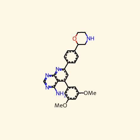 COc1cc(OC)cc(-c2cc(-c3ccc(C4CNCCO4)cc3)nc3ncnc(N)c23)c1